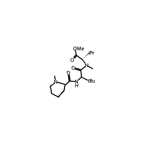 COC(=O)[C@H](C(C)C)N(C)C(=O)C(NC(=O)C1CCCCN1C)C(C)(C)C